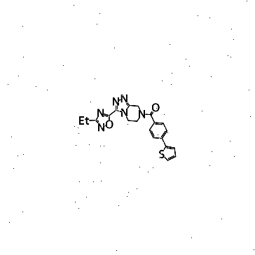 CCc1noc(-c2nnc3n2CCN(C(=O)c2ccc(-c4cccs4)cc2)C3)n1